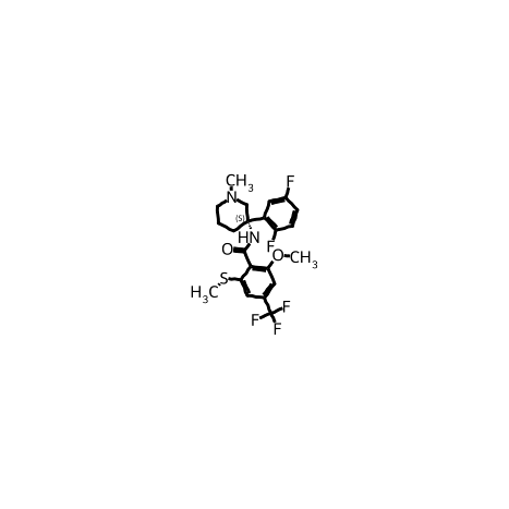 COc1cc(C(F)(F)F)cc(SC)c1C(=O)N[C@]1(c2cc(F)ccc2F)CCCN(C)C1